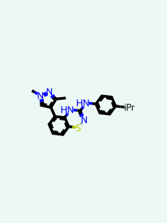 Cc1nn(C)cc1-c1cccc2c1NC(Nc1ccc(C(C)C)cc1)=NS2